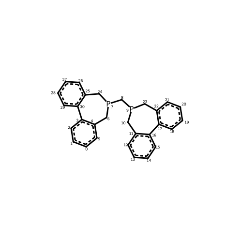 c1ccc2c(c1)CP(CP1Cc3ccccc3-c3ccccc3C1)Cc1ccccc1-2